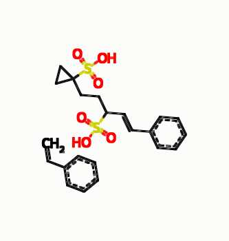 C=Cc1ccccc1.O=S(=O)(O)C(C=Cc1ccccc1)CCC1(S(=O)(=O)O)CC1